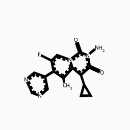 Cc1c(-c2cncnc2)c(F)cn2c(=O)n(N)c(=O)c(C3CC3)c12